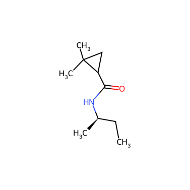 CC[C@@H](C)NC(=O)C1CC1(C)C